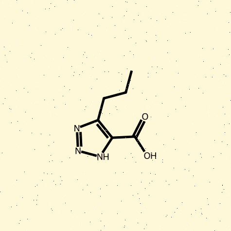 CCCc1nn[nH]c1C(=O)O